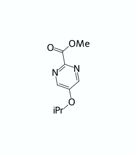 COC(=O)c1ncc(OC(C)C)cn1